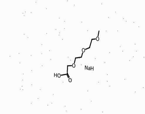 COCCOCCOCC(=O)O.[NaH]